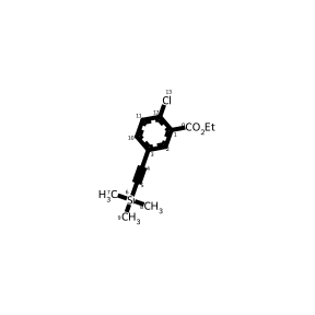 CCOC(=O)c1cc(C#C[Si](C)(C)C)ccc1Cl